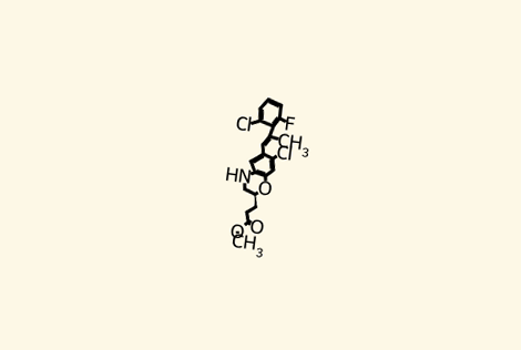 COC(=O)CC[C@H]1CNc2cc(/C=C(\C)c3c(F)cccc3Cl)c(Cl)cc2O1